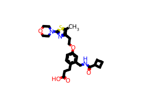 Cc1sc(N2CCOCC2)nc1CCOc1ccc(CCC(=O)O)c(CNC(=O)C2CCC2)c1